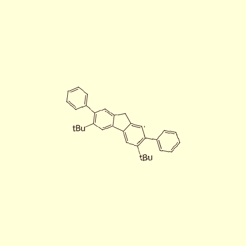 CC(C)(C)c1cc2c([c]c1-c1ccccc1)Cc1cc(-c3ccccc3)c(C(C)(C)C)cc1-2